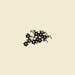 Bc1cc(B)c2c(c1)c1c(B)c(B)c3c4cc(B)cc(B)c4n(-c4ccc5oc6ccc(-c7nc(-c8ccccc8)nc(-c8ccccc8)n7)cc6c5c4)c3c1n2-c1ccccc1